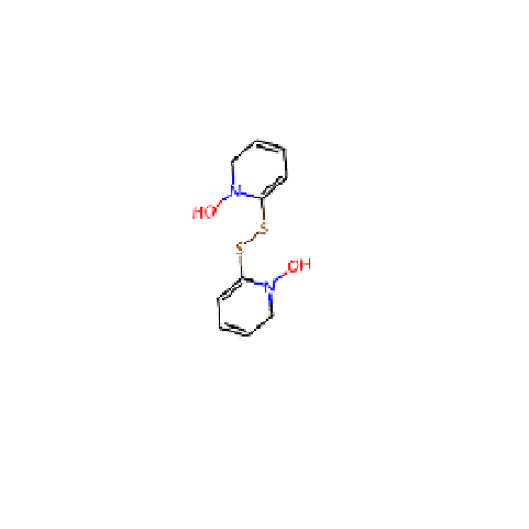 ON1CC=CC=C1SSC1=CC=CCN1O